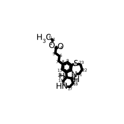 CCOC(=O)CCCc1cc2c3c(c1)[C@@H]1CNCC[C@@H]1N3CCCS2